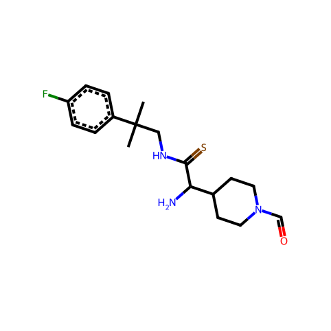 CC(C)(CNC(=S)C(N)C1CCN(C=O)CC1)c1ccc(F)cc1